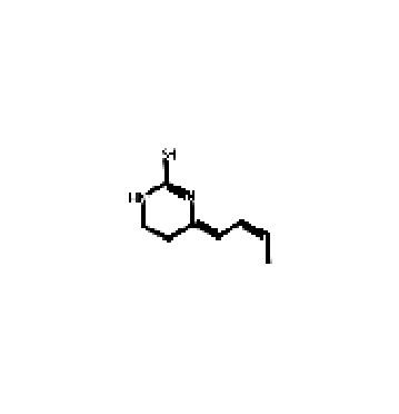 C/C=C\C=C1\CCNC(S)=N1